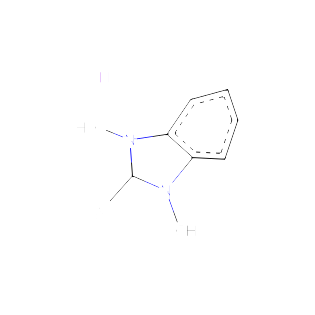 CC1N(C)c2ccccc2N1C.I